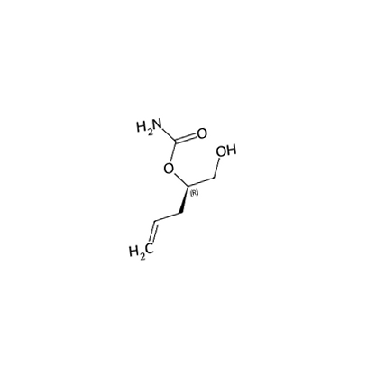 C=CC[C@H](CO)OC(N)=O